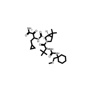 CSCC1(NC(=O)N[C@H](C(=O)N2CC3[C@@H]([C@H]2C(=O)NC(CC2CC2)C(=O)C(N)=O)C3(C)C)C(C)(C)C)CCCCC1